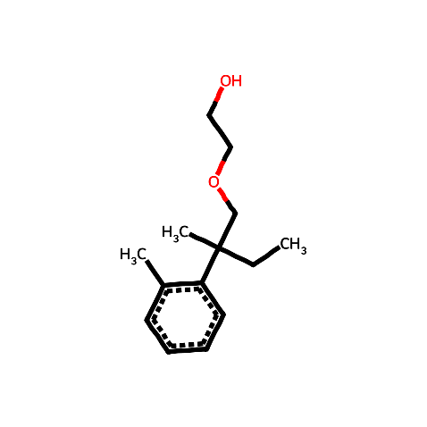 CCC(C)(COCCO)c1ccccc1C